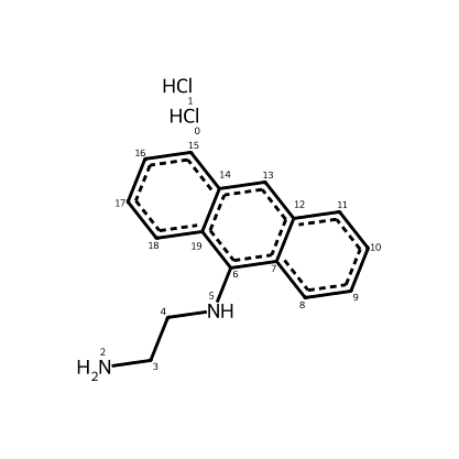 Cl.Cl.NCCNc1c2ccccc2cc2ccccc12